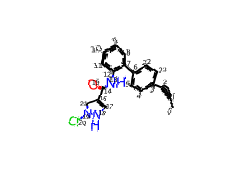 CC#Cc1ccc(-c2ccccc2NC(=O)C2=CNN(Cl)C2)cc1